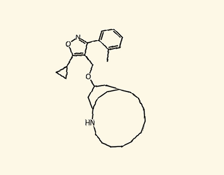 Cc1ccccc1-c1noc(C2CC2)c1COC1CC2CCCCCCCCCCNC(CC2)C1